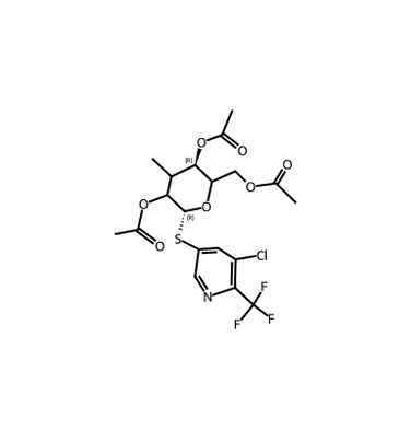 CC(=O)OCC1O[C@H](Sc2cnc(C(F)(F)F)c(Cl)c2)C(OC(C)=O)C(C)[C@H]1OC(C)=O